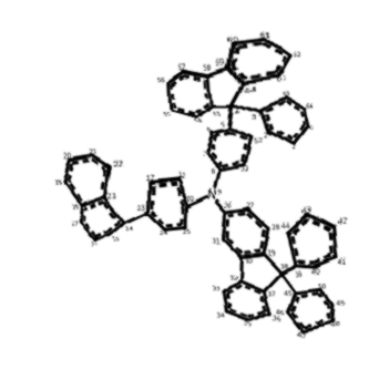 c1ccc(C2(c3ccc(N(c4ccc(-c5cccc6ccccc56)cc4)c4ccc5c(c4)-c4ccccc4C5(c4ccccc4)c4ccccc4)cc3)c3ccccc3-c3ccccc32)cc1